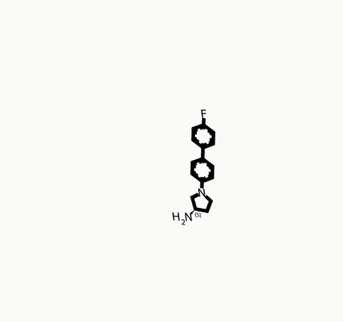 N[C@H]1CCN(c2ccc(-c3ccc(F)cc3)cc2)C1